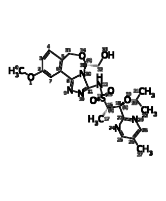 COc1ccc2c(c1)-c1nnc(NS(=O)(=O)[C@@H](C)[C@@H](OC(C)C)c3ncc(C)cn3)n1[C@@H](CO)OC2